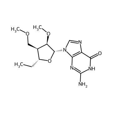 CC[C@H]1O[C@@H](n2cnc3c(=O)[nH]c(N)nc32)[C@H](OC)[C@@H]1COC